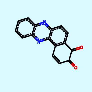 O=C1C=Cc2c(ccc3nc4ccccc4nc23)C1=O